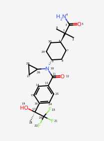 CC(C)(C(N)=O)[C@H]1CC[C@H](N(C(=O)c2ccc([C@](C)(O)C(F)(F)F)cc2)C2CC2)CC1